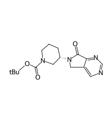 CC(C)(C)OC(=O)N1CCC[C@H](N2Cc3cncnc3C2=O)C1